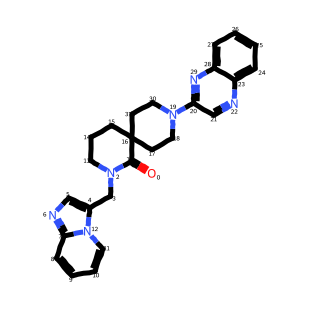 O=C1N(Cc2cnc3ccccn23)CCCC12CCN(c1cnc3ccccc3n1)CC2